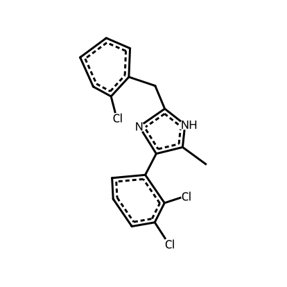 Cc1[nH]c(Cc2ccccc2Cl)nc1-c1cccc(Cl)c1Cl